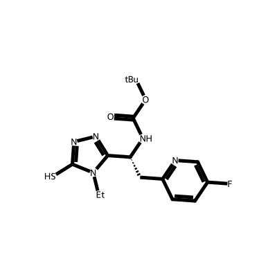 CCn1c(S)nnc1[C@@H](Cc1ccc(F)cn1)NC(=O)OC(C)(C)C